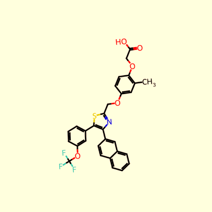 Cc1cc(OCc2nc(-c3ccc4ccccc4c3)c(-c3cccc(OC(F)(F)F)c3)s2)ccc1OCC(=O)O